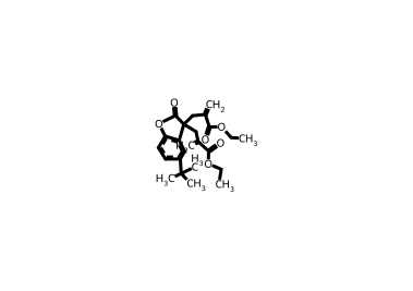 C=C(CC1(CC(=C)C(=O)OCC)C(=O)Oc2ccc(C(C)(C)C)cc21)C(=O)OCC